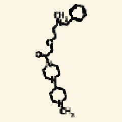 CN1CCC(N2CCN(C(=O)COCCN(C)Cc3ccccc3)CC2)CC1